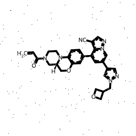 C=CC(=O)N1CCN2c3ccc(-c4cc(-c5cnn(CC6COC6)c5)cn5ncc(C#N)c45)cc3OC[C@@H]2C1